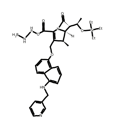 BNPOC(=O)C1=C(COc2cccc3c(NCc4cccnc4)cccc23)[C@H](C)[C@@H]2[C@@H]([C@@H](C)O[Si](CC)(CC)CC)C(=O)N12